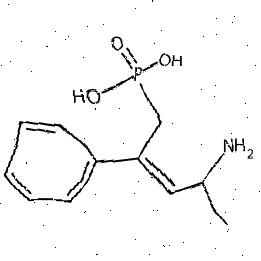 CC(N)C=C(CP(=O)(O)O)c1ccccc1